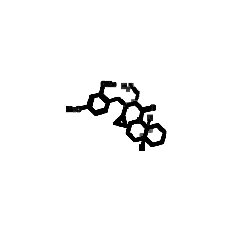 COc1ccc(CN(C2CC2)[C@H](CN)C(=O)N2CCC[C@H]3CCCC[C@@H]32)c(OC)c1